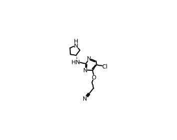 N#CCCOc1nc(N[C@@H]2CCNC2)ncc1Cl